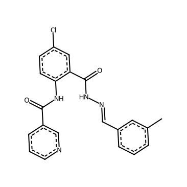 Cc1cccc(C=NNC(=O)c2cc(Cl)ccc2NC(=O)c2cccnc2)c1